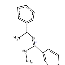 NN/C(=N\C(N)c1ccccc1)C1=CCCC=C1